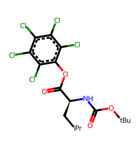 CC(C)C[C@H](NC(=O)OC(C)(C)C)C(=O)Oc1c(Cl)c(Cl)c(Cl)c(Cl)c1Cl